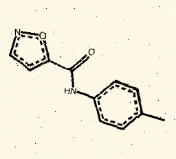 Cc1ccc(NC(=O)c2ccno2)cc1